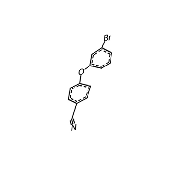 N#Cc1ccc(Oc2cccc(Br)c2)cc1